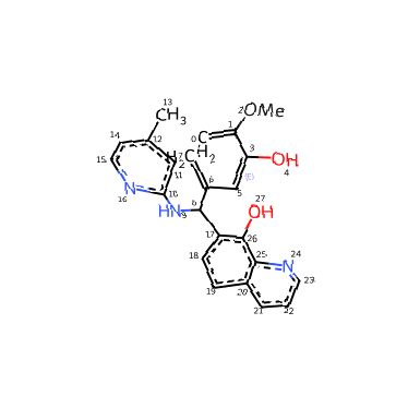 C=C(OC)/C(O)=C\C(=C)C(Nc1cc(C)ccn1)c1ccc2cccnc2c1O